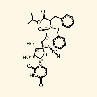 CC(C)OC(=O)C(Cc1ccccc1)N(Oc1ccccc1)[PH](=O)OC[C@@]1(N=[N+]=[N-])O[C@@H](n2ccc(=O)[nH]c2=O)[C@H](O)[C@@H]1O